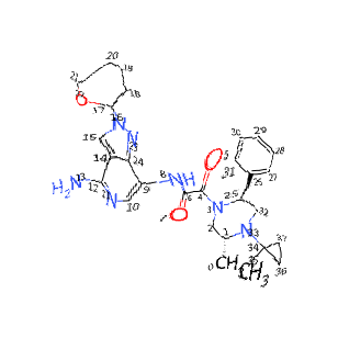 C[C@@H]1CN(C(=O)C(=O)Nc2cnc(N)c3cn(C4CCCCO4)nc23)[C@@H](c2ccccc2)CN1C1(C)CC1